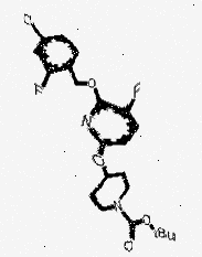 CC(C)(C)OC(=O)N1CCC(Oc2ccc(F)c(OCc3ccc(Cl)cc3F)n2)CC1